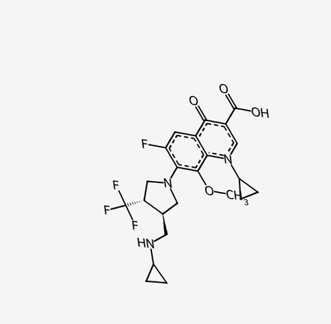 COc1c(N2C[C@@H](CNC3CC3)[C@H](C(F)(F)F)C2)c(F)cc2c(=O)c(C(=O)O)cn(C3CC3)c12